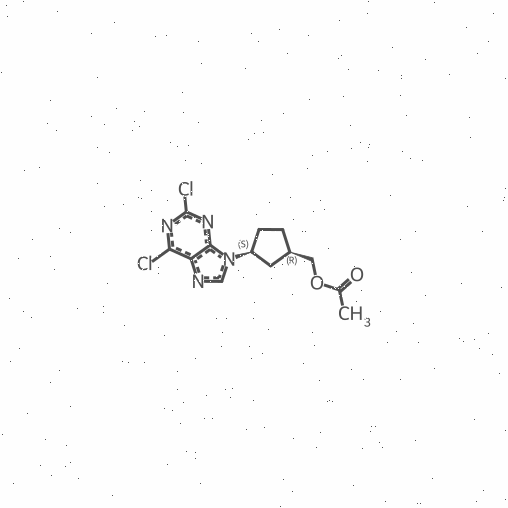 CC(=O)OC[C@@H]1CC[C@H](n2cnc3c(Cl)nc(Cl)nc32)C1